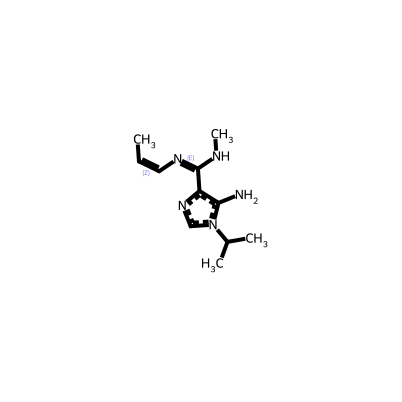 C/C=C\N=C(\NC)c1ncn(C(C)C)c1N